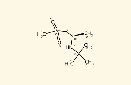 C[C@H](CS(C)(=O)=O)NC(C)(C)C